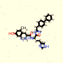 Cc1cc(O)cc(C)c1C[C@H](N)C(=O)N[C@@H](CCc1c[nH]cn1)c1nc(Cc2ccc(-c3ccccc3)cc2)no1